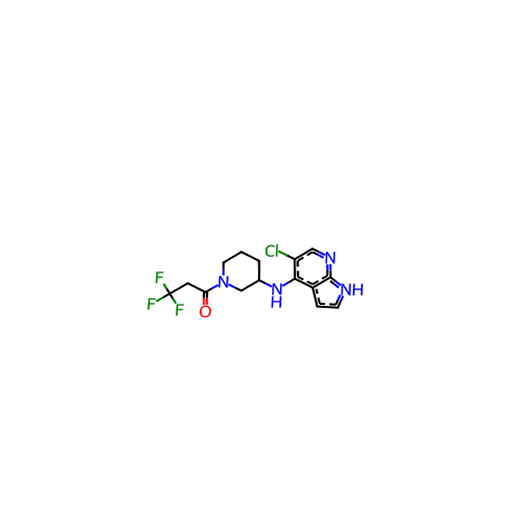 O=C(CC(F)(F)F)N1CCCC(Nc2c(Cl)cnc3[nH]ccc23)C1